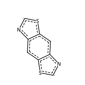 [c]1nc2cc3s[c]nc3cc2s1